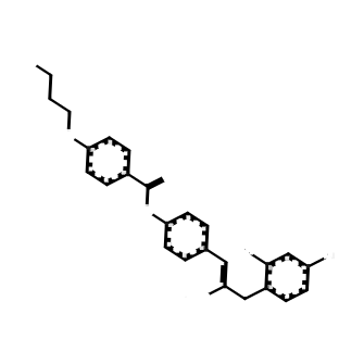 Nc1ccc(CC(=Cc2ccc(OC(=O)c3ccc(OCCCC(F)(F)F)cc3)cc2)C(=O)O)c(N)c1